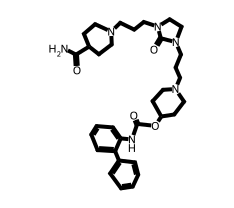 NC(=O)C1CCN(CCCN2CCN(CCCN3CCC(OC(=O)Nc4ccccc4-c4ccccc4)CC3)C2=O)CC1